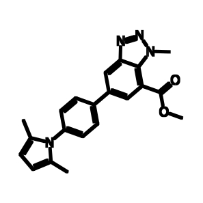 COC(=O)c1cc(-c2ccc(-n3c(C)ccc3C)cc2)cc2nnn(C)c12